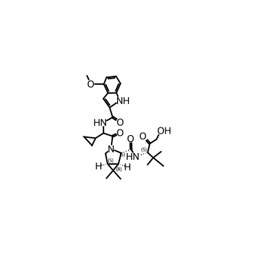 COc1cccc2[nH]c(C(=O)NC(C(=O)N3C[C@H]4[C@@H]([C@H]3C(=O)N[C@H](C(=O)CO)C(C)(C)C)C4(C)C)C3CC3)cc12